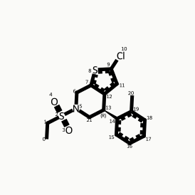 CCS(=O)(=O)N1Cc2sc(Cl)cc2[C@@H](c2ccccc2C)C1